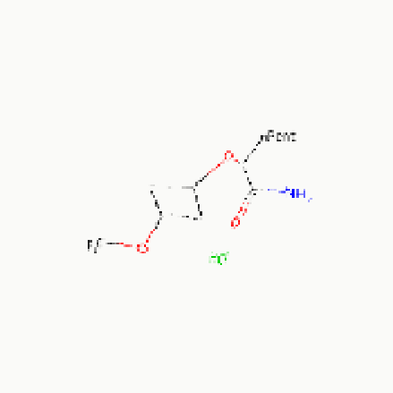 CCCCCC(OC1CC(OC(F)(F)F)C1)C(N)=O.Cl